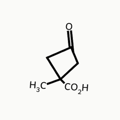 CC1(C(=O)O)CC(=O)C1